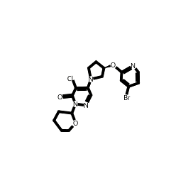 O=c1c(Cl)c(N2CC[C@@H](Oc3cc(Br)ccn3)C2)cnn1C1CCCCO1